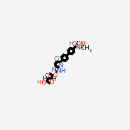 CS(C)(=O)=NC(=O)c1ccc(-c2ccc(-c3nc4[nH]c(O[C@@H]5CO[C@H]6[C@@H]5OC[C@H]6O)nc4cc3Cl)cc2)cc1